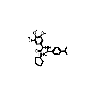 COc1cc(C(NC(=O)c2ccc(C(C)C)cc2)C(=O)NC2CCCCC2)cc(OC)c1OC